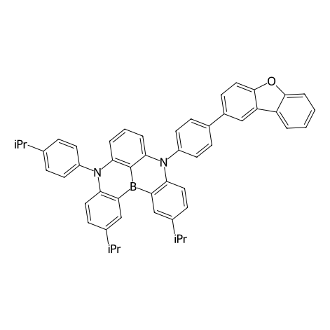 CC(C)c1ccc(N2c3ccc(C(C)C)cc3B3c4cc(C(C)C)ccc4N(c4ccc(-c5ccc6oc7ccccc7c6c5)cc4)c4cccc2c43)cc1